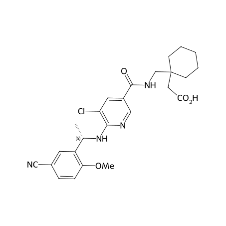 COc1ccc(C#N)cc1[C@H](C)Nc1ncc(C(=O)NCC2(CC(=O)O)CCCCC2)cc1Cl